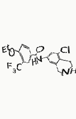 CCOc1ccc(C(=O)Nc2cc(Cl)c3c(c2)CNCC3)cc1C(F)(F)F